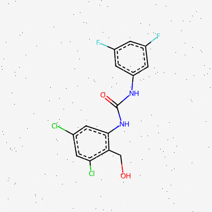 O=C(Nc1cc(F)cc(F)c1)Nc1cc(Cl)cc(Cl)c1CO